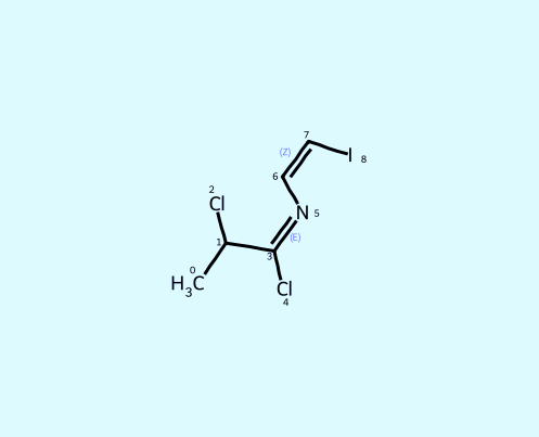 CC(Cl)/C(Cl)=N\C=C/I